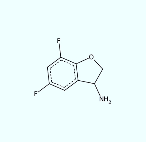 NC1COc2c(F)cc(F)cc21